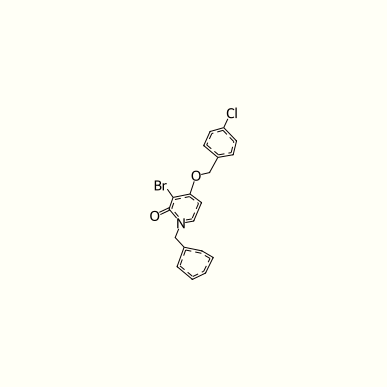 O=c1c(Br)c(OCc2ccc(Cl)cc2)ccn1Cc1ccccc1